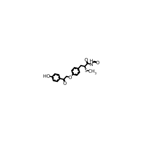 CSC(Cc1ccc(OCC(=O)c2ccc(O)cc2)cc1)C(=O)NC=O